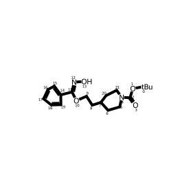 CC(C)(C)OC(=O)N1CCC(CCOC(=NO)c2ccccc2)CC1